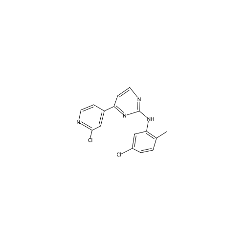 Cc1ccc(Cl)cc1Nc1nccc(-c2ccnc(Cl)c2)n1